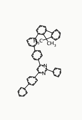 CC1(C)c2ccccc2-c2cccc(-c3cccc(-c4ccc(-c5cc(-c6ccc(-c7ccccc7)cc6)nc(-c6ccccc6)n5)cc4)c3)c21